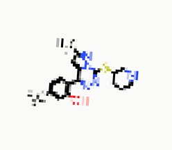 Cc1cc2c(-c3ccc(C(F)(F)F)cc3O)nnc(S[C@@H]3CCCNC3)n2n1